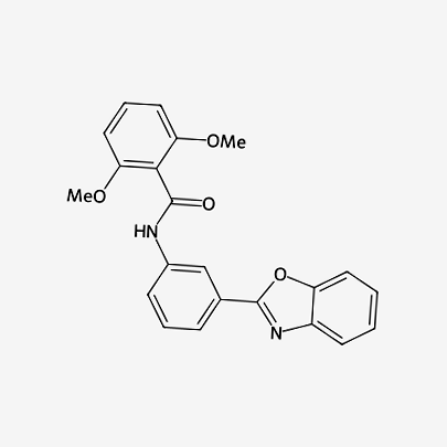 COc1cccc(OC)c1C(=O)Nc1cccc(-c2nc3ccccc3o2)c1